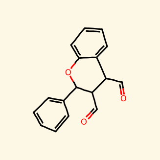 O=CC1c2ccccc2OC(c2ccccc2)C1C=O